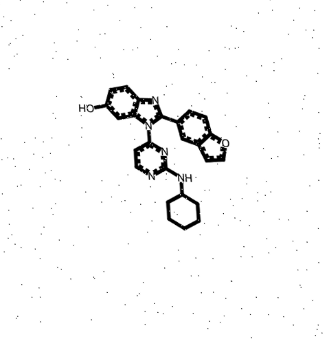 Oc1ccc2nc(-c3ccc4occc4c3)n(-c3ccnc(NC4CCCCC4)n3)c2c1